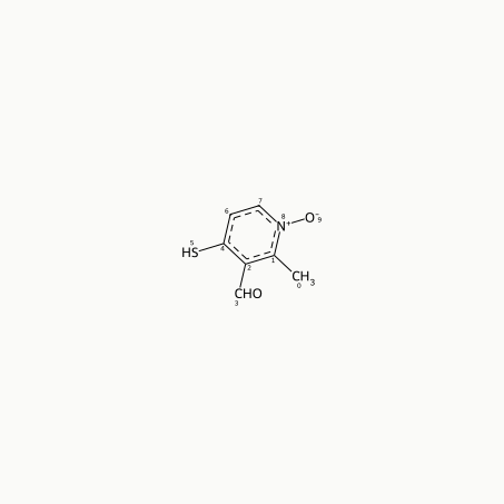 Cc1c(C=O)c(S)cc[n+]1[O-]